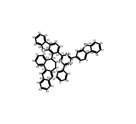 c1ccc(-c2nc(-c3ccc4c(c3)sc3ccccc34)nc(-c3ccc4c(oc5ccccc54)c3C3CCc4cc5ccccc5cc4-c4ccccc43)n2)cc1